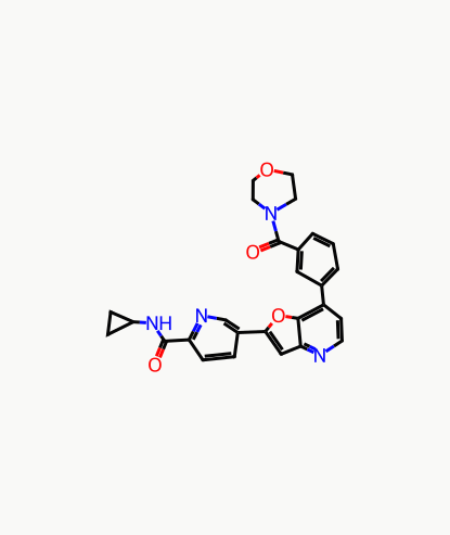 O=C(NC1CC1)c1ccc(-c2cc3nccc(-c4cccc(C(=O)N5CCOCC5)c4)c3o2)cn1